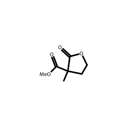 COC(=O)C1(C)CCOC1=O